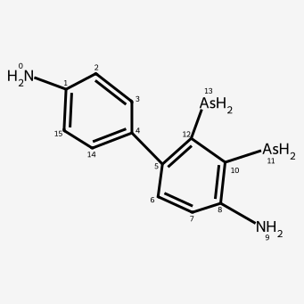 Nc1ccc(-c2ccc(N)c([AsH2])c2[AsH2])cc1